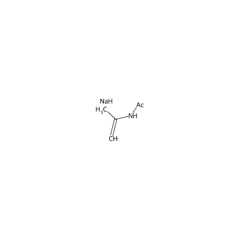 [CH]=C(C)NC(C)=O.[NaH]